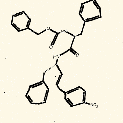 O=C(N[C@@H](Cc1ccccc1)C(=O)N[C@H](/C=C/c1ccc([N+](=O)[O-])cc1)Cc1ccccc1)OCc1ccccc1